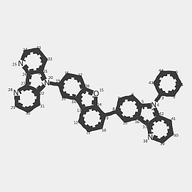 c1ccc(-n2c3ccc(-c4cccc5c4oc4ccc(-n6c7cccnc7c7ncccc76)cc45)cc3c3ncccc32)cc1